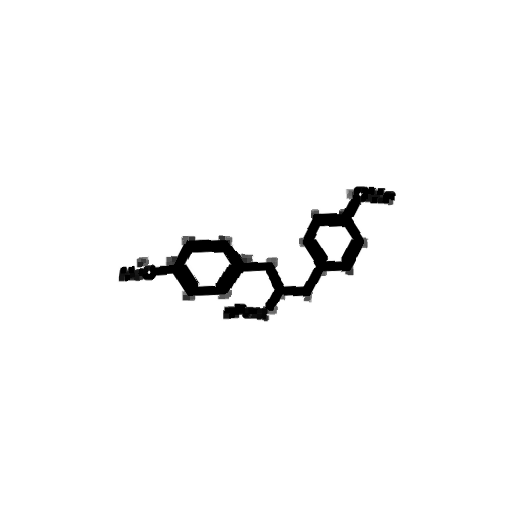 CCCCCC(Cc1ccc(OC)cc1)Cc1ccc(OC)cc1